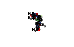 COc1nc(-c2cccc(-c3c(F)ccc(NC(=O)c4nn(C)c(=O)n(C)c4=O)c3C)c2Cl)cc2c1[C@@H](N1CCN(C(C)=O)CC1)CC2